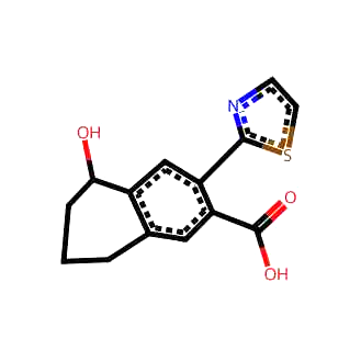 O=C(O)c1cc2c(cc1-c1nccs1)C(O)CCC2